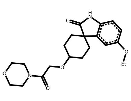 CCOc1ccc2c(c1)C1(CCC(OCC(=O)N3CCOCC3)CC1)C(=O)N2